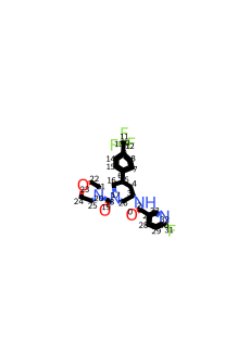 O=C(NC1CC(c2ccc(C(F)(F)F)cc2)CN(C(=O)N2CCOCC2)C1)c1ccc(F)nc1